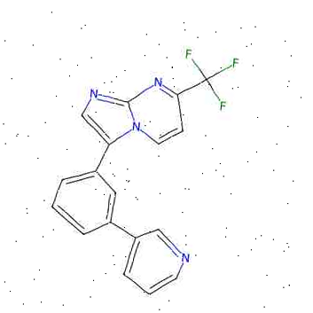 FC(F)(F)c1ccn2c(-c3cccc(-c4cccnc4)c3)cnc2n1